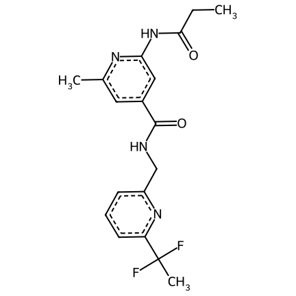 CCC(=O)Nc1cc(C(=O)NCc2cccc(C(C)(F)F)n2)cc(C)n1